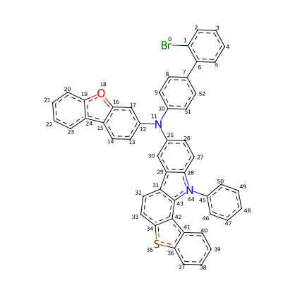 Brc1ccccc1-c1ccc(N(c2ccc3c(c2)oc2ccccc23)c2ccc3c(c2)c2ccc4sc5ccccc5c4c2n3-c2ccccc2)cc1